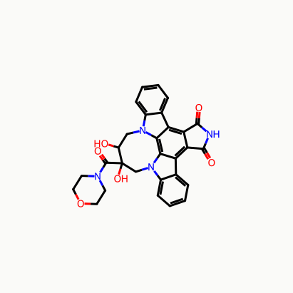 O=C1NC(=O)c2c1c1c3ccccc3n3c1c1c2c2ccccc2n1CC(O)(C(=O)N1CCOCC1)C(O)C3